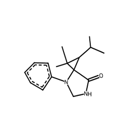 CC(C)C1C(C)(C)C12C(=O)NCN2c1ccccc1